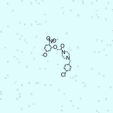 COc1ccc([N+](=O)[O-])c(OCC(=O)N2CCN(Cc3ccc(Cl)cc3)CC2)c1